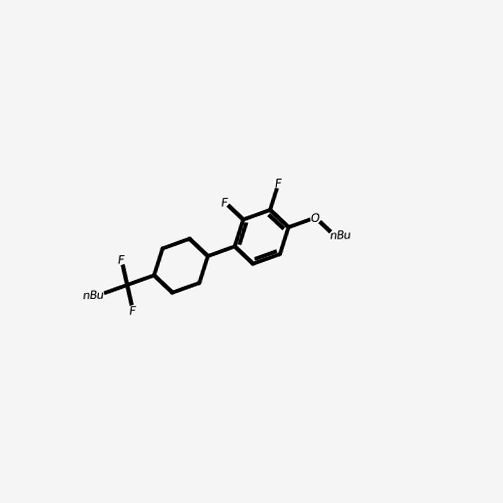 CCCCOc1ccc(C2CCC(C(F)(F)CCCC)CC2)c(F)c1F